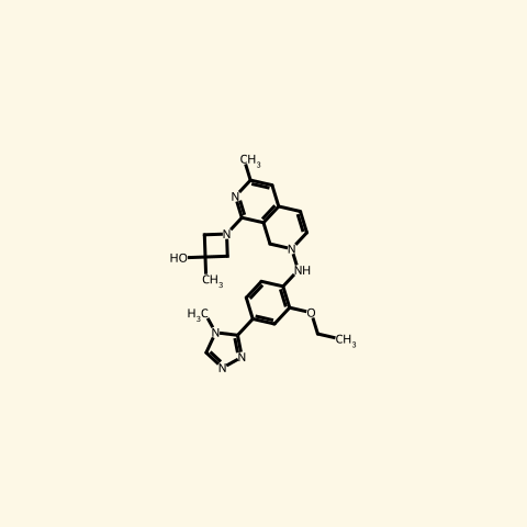 CCOc1cc(-c2nncn2C)ccc1NN1C=Cc2cc(C)nc(N3CC(C)(O)C3)c2C1